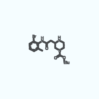 Cc1cccc(Br)c1NC(=O)CC1CN(C(=O)OC(C)(C)C)CCN1